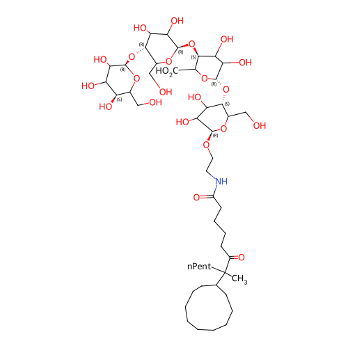 CCCCCC(C)(C(=O)CCCCC(=O)NCCO[C@@H]1OC(CO)[C@@H](O[C@@H]2OC(C(=O)O)[C@@H](O[C@H]3OC(CO)[C@H](O[C@H]4OC(CO)[C@@H](O)C(O)C4O)C(O)C3O)C(O)C2O)C(O)C1O)C1CCCCCCCCC1